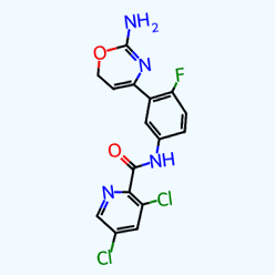 NC1=NC(c2cc(NC(=O)c3ncc(Cl)cc3Cl)ccc2F)=CCO1